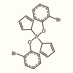 Brc1ccccc1[O][Zr]([O]c1ccccc1Br)([CH]1C=CC=C1)[CH]1C=CC=C1